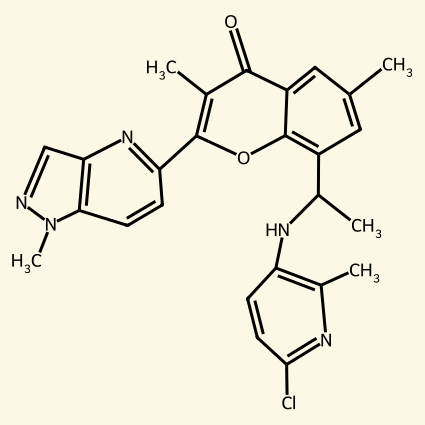 Cc1cc(C(C)Nc2ccc(Cl)nc2C)c2oc(-c3ccc4c(cnn4C)n3)c(C)c(=O)c2c1